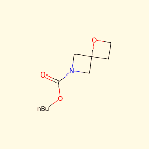 CCCCOC(=O)N1CC2(CCO2)C1